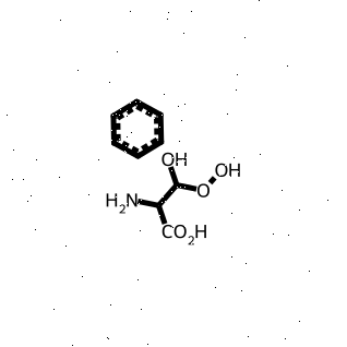 NC(C(=O)O)C(O)OO.c1ccccc1